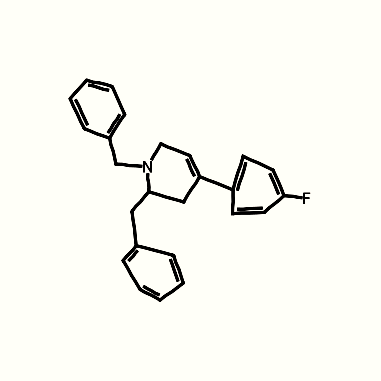 Fc1ccc(C2=CCN(Cc3ccccc3)C(Cc3ccccc3)C2)cc1